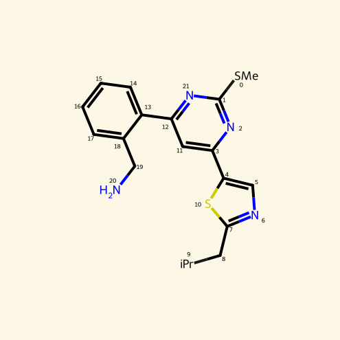 CSc1nc(-c2cnc(CC(C)C)s2)cc(-c2ccccc2CN)n1